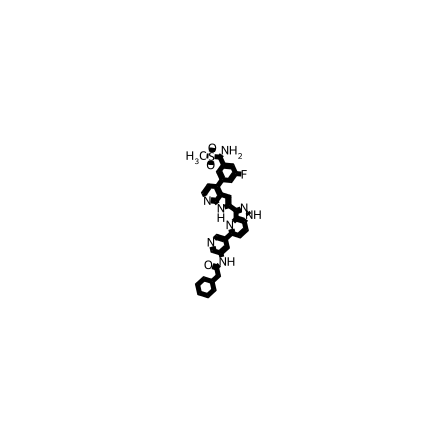 CS(=O)(=O)C(N)c1cc(F)cc(-c2ccnc3[nH]c(-c4n[nH]c5ccc(-c6cncc(NC(=O)CC7CCCCC7)c6)nc45)cc23)c1